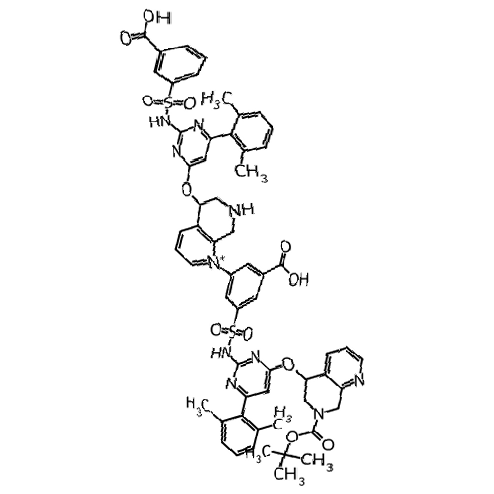 Cc1cccc(C)c1-c1cc(OC2CN(C(=O)OC(C)(C)C)Cc3ncccc32)nc(NS(=O)(=O)c2cc(C(=O)O)cc(-[n+]3cccc4c3CNCC4Oc3cc(-c4c(C)cccc4C)nc(NS(=O)(=O)c4cccc(C(=O)O)c4)n3)c2)n1